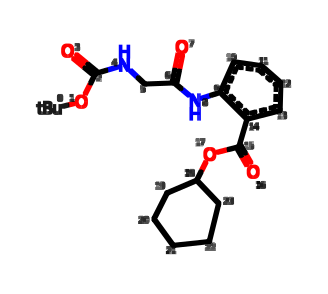 CC(C)(C)OC(=O)NCC(=O)Nc1ccccc1C(=O)OC1CCCCC1